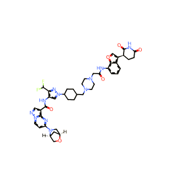 O=C1CC[C@@H](c2coc3c(NC(=O)CN4CCN(CC5CCC(n6cc(NC(=O)c7cnn8ccc(N9C[C@@H]%10C[C@H]9CO%10)nc78)c(C(F)F)n6)CC5)CC4)cccc23)C(=O)N1